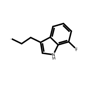 [CH2]CCc1c[nH]c2c(F)cccc12